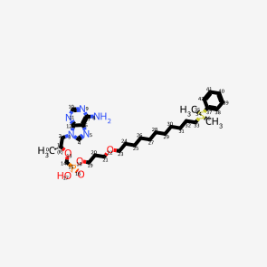 C[C@H](Cn1cnc2c(N)ncnc21)OCP(=O)(O)OCCCOCCCCCCCCCCCS(C)(C)c1ccccc1